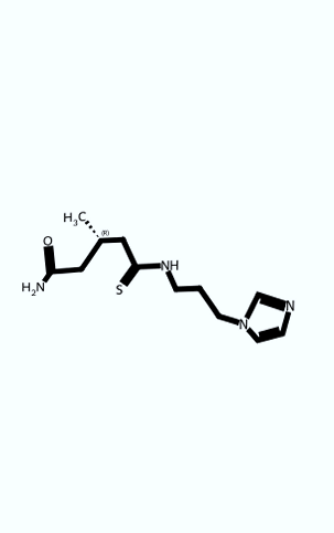 C[C@H]([CH]C(=S)NCCCn1ccnc1)CC(N)=O